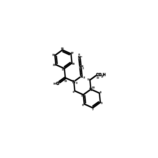 [N-]=[N+]=NN(CC1=CC=CCN1CC(=O)O)C(=O)c1ccccc1